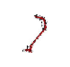 CC(=O)N1c2ccc(-c3ccc(C(=O)NCCOCCOCCOCCOCCOCCOCCOCCOCCNC(=O)c4nc(NC(=O)CCNC(=O)c5cc(NC(=O)c6nc(NC(=O)CCNC(=O)OC(C)(C)C)cn6C)cn5C)cn4C)cc3)cc2[C@H](Nc2ccc(Cl)cc2)C[C@@H]1C